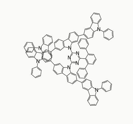 c1ccc(-c2cccc(-c3ccccc3)c2-c2nc(-n3c4cc(-c5ccc6c(c5)c5ccccc5n6-c5ccccc5)ccc4c4ccc(-c5ccc6c(c5)c5ccccc5n6-c5ccccc5)cc43)nc(-n3c4cc(-c5ccc6c(c5)c5ccccc5n6-c5ccccc5)ccc4c4ccc(-c5ccc6c(c5)c5ccccc5n6-c5ccccc5)cc43)n2)cc1